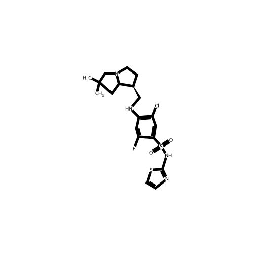 CC1(C)CC2[C@H](CNc3cc(F)c(S(=O)(=O)Nc4nccs4)cc3Cl)CCN2C1